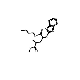 CCCCOC(=O)C(CC(C)C(=O)OC)Sc1nc2ccccc2s1